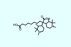 CC1C(C(CCCCCCCC(=O)O)(C(=O)O)C2CCN(C)C(C)(C)C2C)CCN(C)C1(C)C